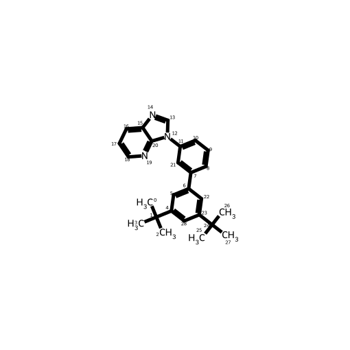 CC(C)(C)c1cc(-c2cccc(-n3cnc4cccnc43)c2)cc(C(C)(C)C)c1